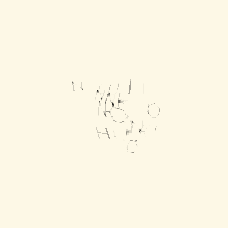 CN1CCC(CN(C(=O)O)c2nc3cc(C4(O)c5ccccc5C(=O)N4Cc4ccccc4)ccc3[nH]2)CC1